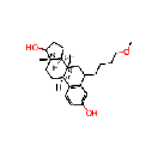 COCCCCC1C[C@@H]2[C@H](CC[C@]3(C)C(O)CC[C@@H]23)c2ccc(O)cc21